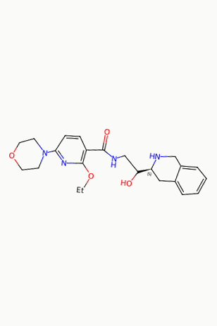 CCOc1nc(N2CCOCC2)ccc1C(=O)NCC(O)[C@@H]1Cc2ccccc2CN1